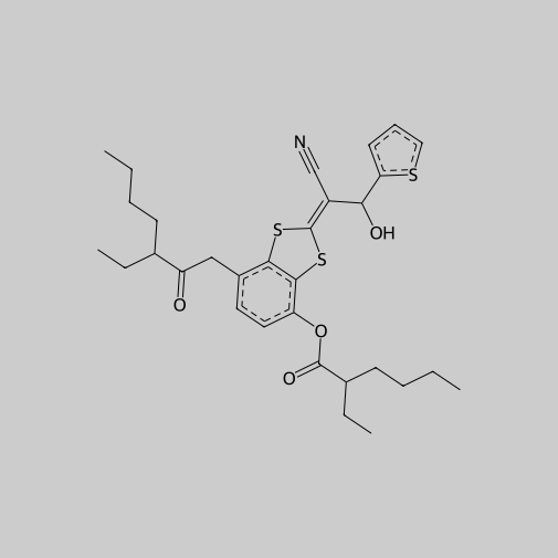 CCCCC(CC)C(=O)Cc1ccc(OC(=O)C(CC)CCCC)c2c1S/C(=C(\C#N)C(O)c1cccs1)S2